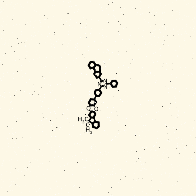 CC1(C)c2ccccc2-c2cc3c(cc21)Oc1ccc(-c2ccc(-c4nc(-c5ccccc5)nc(-c5ccc6c(ccc7ccccc76)c5)n4)cc2)cc1O3